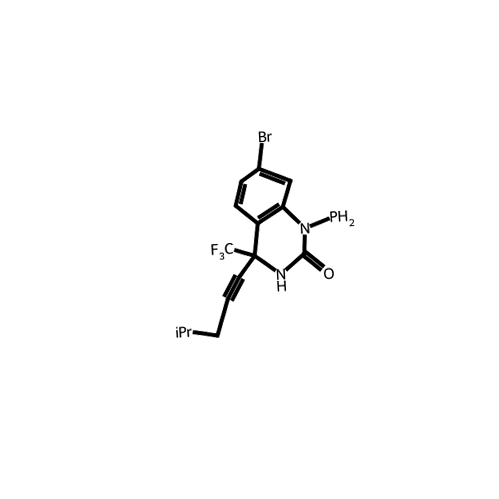 CC(C)CC#CC1(C(F)(F)F)NC(=O)N(P)c2cc(Br)ccc21